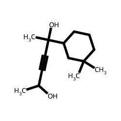 CC(O)C#CC(C)(O)C1CCCC(C)(C)C1